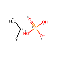 C[CH2][Hg].O=P(O)(O)O